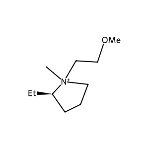 CC[C@@H]1CCC[N+]1(C)CCOC